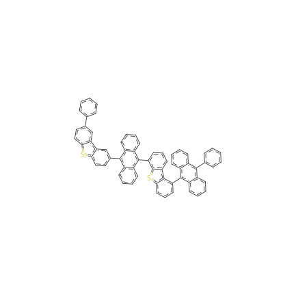 c1ccc(-c2ccc3sc4ccc(-c5c6ccccc6c(-c6cccc7c6sc6cccc(-c8c9ccccc9c(-c9ccccc9)c9ccccc89)c67)c6ccccc56)cc4c3c2)cc1